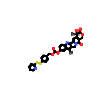 CCc1c2c(nc3ccc(OC(=O)OCc4ccc(SSc5ccccn5)cc4)cc13)-c1cc3c(c(=O)n1C2)COC(=O)[C@]3(O)CC